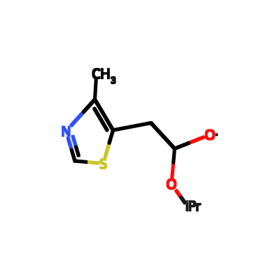 Cc1ncsc1CC([O])OC(C)C